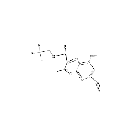 COc1cc(C#N)ccc1C=C(C(C)=O)C(=O)OCC(F)(F)F